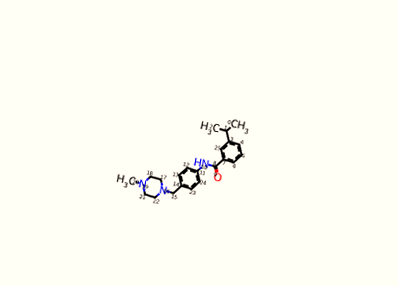 CC(C)c1cccc(C(=O)Nc2ccc(CN3CCN(C)CC3)cc2)c1